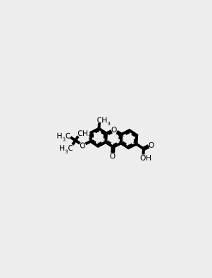 Cc1cc(OC(C)(C)C)cc2c(=O)c3cc(C(=O)O)ccc3oc12